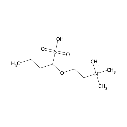 CCCC(OCC[N+](C)(C)C)S(=O)(=O)O